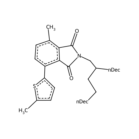 CCCCCCCCCCCCC(CCCCCCCCCC)CN1C(=O)c2c(C)ccc(-c3ccc(C)s3)c2C1=O